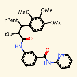 CCCCCC(c1ccc(OC)c(OC)c1OC)C(C(=O)Nc1cccc(C(=O)Nc2ccccn2)c1)C(C)(C)C